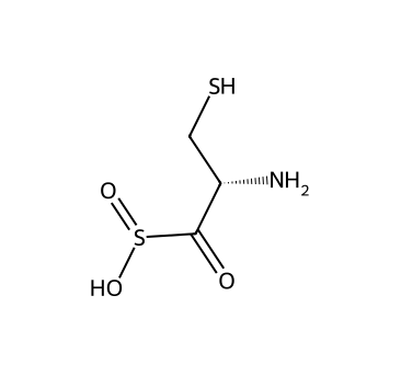 N[C@@H](CS)C(=O)S(=O)O